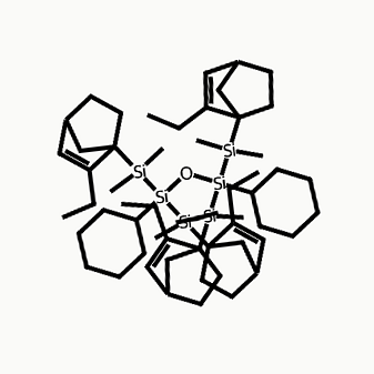 CCC1=CC2CCC1([Si](C)(C)[Si](O[Si](C1CCCCC1)([Si](C)(C)C13CCC(C=C1CC)C3)[Si](C)(C)C13CCC(C=C1CC)C3)(C1CCCCC1)[Si](C)(C)C13CCC(C=C1CC)C3)C2